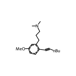 CCCCC#Cc1ccc(OC)cc1CCCN(C)C